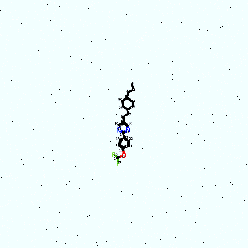 CCCC1CCC(CCc2cnc(-c3ccc(OC(F)F)cc3)nc2)CC1